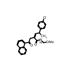 COCNC(=O)/C(=C\C(C)c1ccc(Cl)cc1)CC(=O)C1=C=C=Cc2ccccc21